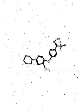 Cc1cc(C2CCCCC2)ccc1Oc1ccc(C(=NO)C(F)(F)F)cc1